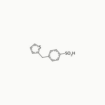 O=S(=O)(O)c1ccc(Cc2cccs2)cc1